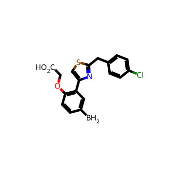 Bc1ccc(OCC(=O)O)c(-c2csc(Cc3ccc(Cl)cc3)n2)c1